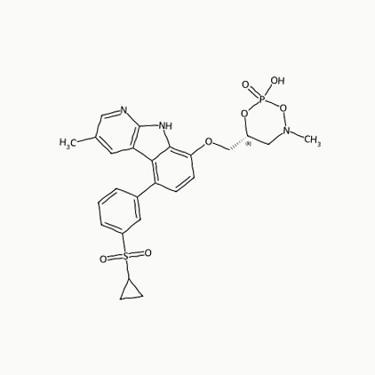 Cc1cnc2[nH]c3c(OC[C@H]4CN(C)OP(=O)(O)O4)ccc(-c4cccc(S(=O)(=O)C5CC5)c4)c3c2c1